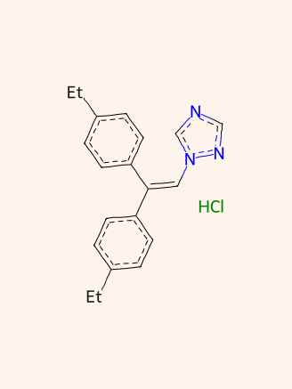 CCc1ccc(C(=Cn2cncn2)c2ccc(CC)cc2)cc1.Cl